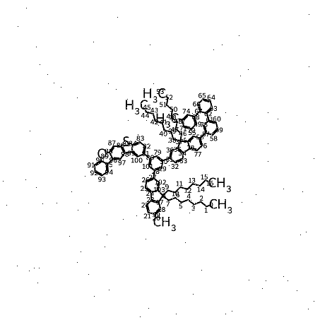 CCCCCCCCC1(CCCCCCCC)c2cc(C)ccc2-c2ccc(-c3cc(-c4ccc5c(c4)C(CCCCCCCC)(CCCCCCCC)c4cc(-c6cccc(-c7ccccc7-c7cccc(C)c7)c6)ccc4-5)cc(-c4ccc5sc6cc7oc8ccccc8c7cc6c5c4)c3)cc21